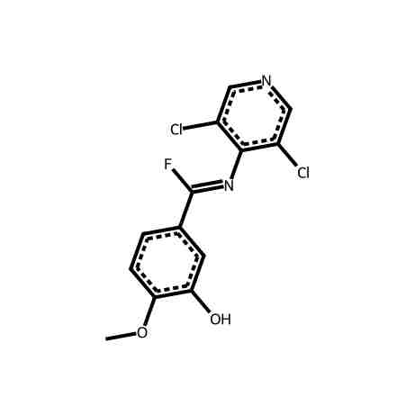 COc1ccc(C(F)=Nc2c(Cl)cncc2Cl)cc1O